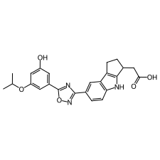 CC(C)Oc1cc(O)cc(-c2nc(-c3ccc4[nH]c5c(c4c3)CCC5CC(=O)O)no2)c1